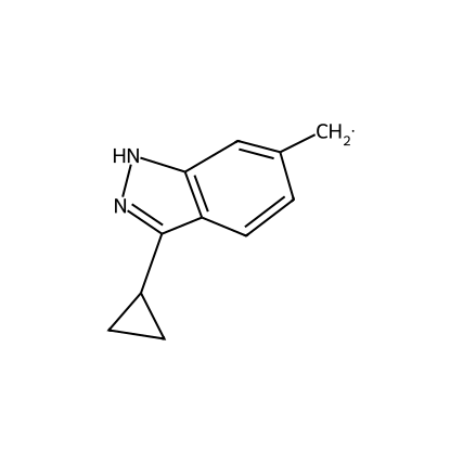 [CH2]c1ccc2c(C3CC3)n[nH]c2c1